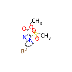 CCOC(=O)c1nc2cc(Br)ccn2c1S(=O)(=O)CC